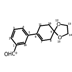 O=Cc1cccc(C2=CCC3(CC2)OCCO3)c1